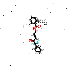 Cc1cccc([N+](=O)[O-])c1C(=O)OC/C=C/C(=O)C(F)(F)c1ccccc1